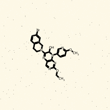 CCOc1ncc2c(n1)N(c1ccc(OC)nc1)C(O)C(N1CCc3ccc(Br)cc3C1)=N2